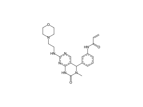 C=CC(=O)Nc1cccc(C2c3cnc(NCCN4CCOCC4)nc3NC(=O)N2C)c1